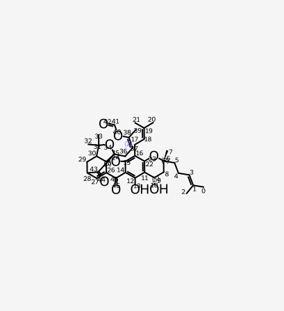 CC(C)=CCC[C@]1(C)C[C@H](O)c2c(O)c3c(c(CC=C(C)C)c2O1)O[C@]12C(=CC4CC1C(C)(C)OC2(C/C=C(/C)OC=O)C4=O)C3=O